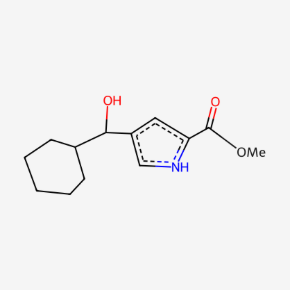 COC(=O)c1cc(C(O)C2CCCCC2)c[nH]1